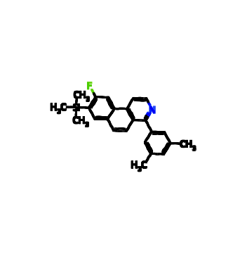 Cc1cc(C)cc(-c2nccc3c2ccc2cc([Si](C)(C)C)c(F)cc23)c1